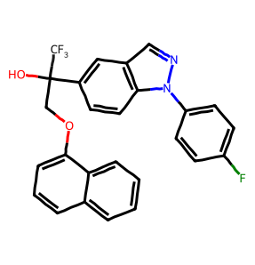 OC(COc1cccc2ccccc12)(c1ccc2c(cnn2-c2ccc(F)cc2)c1)C(F)(F)F